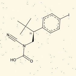 CC(C)(C)[C@H](CN(C#N)C(=O)O)c1ccc(I)cc1